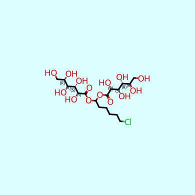 O=C(OC(CCCCCCl)OC(=O)[C@H](O)[C@@H](O)[C@H](O)[C@H](O)CO)[C@H](O)[C@@H](O)[C@H](O)[C@H](O)CO